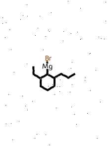 CCCC1CCCC(CC)[CH]1[Mg][Br]